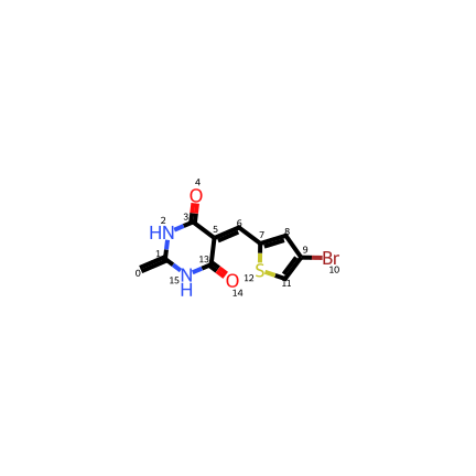 C=c1[nH]c(=O)c(=Cc2cc(Br)cs2)c(=O)[nH]1